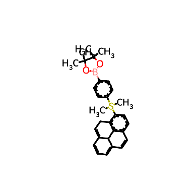 CC1(C)OB(c2ccc(S(C)(C)c3ccc4c5c3CC=C3C=CC=C(C=C4)C35)cc2)OC1(C)C